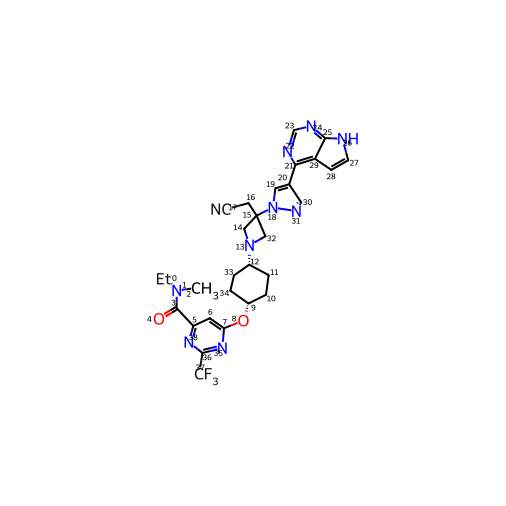 CCN(C)C(=O)c1cc(O[C@H]2CC[C@@H](N3CC(CC#N)(n4cc(-c5ncnc6[nH]ccc56)cn4)C3)CC2)nc(C(F)(F)F)n1